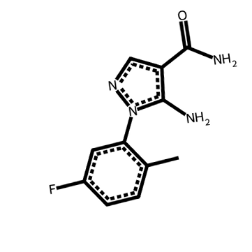 Cc1ccc(F)cc1-n1ncc(C(N)=O)c1N